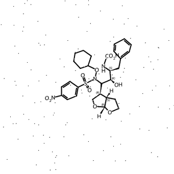 O=C(O)N[C@@H](Cc1ccccc1)[C@@H](O)C([C@@H]1CO[C@H]2OCC[C@H]21)N(OC1CCCCC1)S(=O)(=O)c1ccc([N+](=O)[O-])cc1